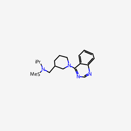 CSN(CC1CCCN(c2ncnc3ccccc23)C1)C(C)C